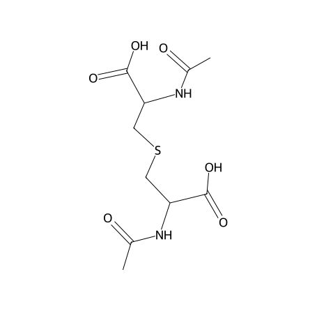 CC(=O)NC(CSCC(NC(C)=O)C(=O)O)C(=O)O